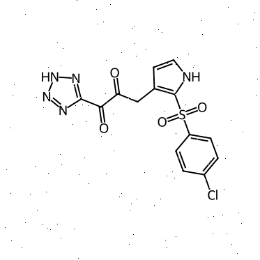 O=C(Cc1cc[nH]c1S(=O)(=O)c1ccc(Cl)cc1)C(=O)c1nn[nH]n1